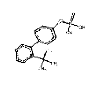 CC(C)(C)c1ccccc1-c1ccc(OP(=O)(O)O)cc1